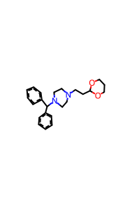 c1ccc(C(c2ccccc2)N2CCN(CCC3OCCCO3)CC2)cc1